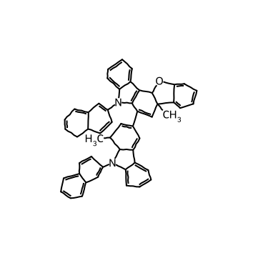 CC1C=C(C2=CC3(C)c4ccccc4OC3c3c2n(C2=CC4=CC=CCC4C=C2)c2ccccc32)C=C2c3ccccc3N(c3ccc4ccccc4c3)C21